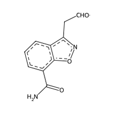 NC(=O)c1cccc2c(C[C]=O)noc12